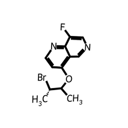 CC(Oc1ccnc2c(F)cncc12)[C@H](C)Br